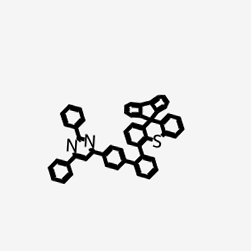 c1ccc(-c2cc(-c3ccc(-c4ccccc4-c4cccc5c4Sc4ccccc4C54c5ccccc5-c5ccccc54)cc3)nc(-c3ccccc3)n2)cc1